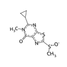 Cn1c(C2CC2)nc2sc([S+](C)[O-])nc2c1=O